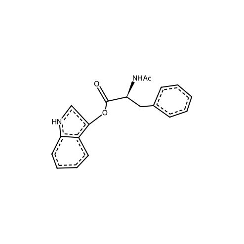 CC(=O)N[C@@H](Cc1ccccc1)C(=O)Oc1c[nH]c2ccccc12